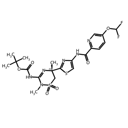 CN1C(NC(=O)OC(C)(C)C)=N[C@](C)(c2nc(NC(=O)c3ccc(OC(F)F)cn3)cs2)CS1(=O)=O